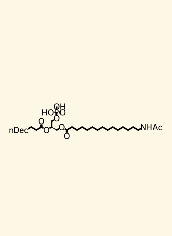 CCCCCCCCCCCCC(=O)O[C@H](COC(=O)CCCCCCCCCCCCCCNC(C)=O)COP(=O)(O)O